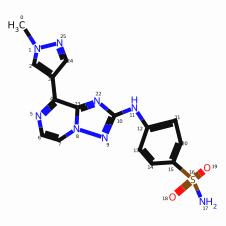 Cn1cc(-c2nccn3nc(Nc4ccc(S(N)(=O)=O)cc4)nc23)cn1